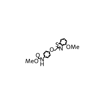 COC(=O)Nc1ccc(OCc2nc3c(OC)cccc3s2)cc1